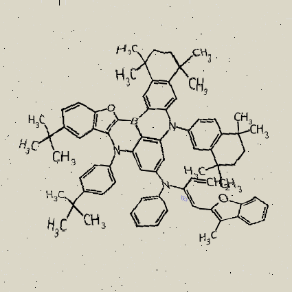 C=C/C(=C\c1oc2ccccc2c1C)N(c1ccccc1)c1cc2c3c(c1)N(c1ccc(C(C)(C)C)cc1)c1c(oc4ccc(C(C)(C)C)cc14)B3c1cc3c(cc1N2c1ccc2c(c1)C(C)(C)CCC2(C)C)C(C)(C)CCC3(C)C